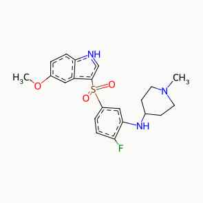 COc1ccc2[nH]cc(S(=O)(=O)c3ccc(F)c(NC4CCN(C)CC4)c3)c2c1